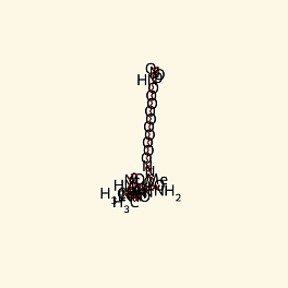 CCN/C(=C\C(C)=N)C(=O)Nc1nc2cccc(OC)c2n1C/C=C/Cn1c(NC(=O)c2cc(C)nn2CC)nc2cc(C(N)=O)cc(OCCCN3CCN(CCOCCOCCOCCOCCOCCOCCOCCOCCOCCOCCNC(=O)CN4C(=O)C=CC4=O)CC3)c21